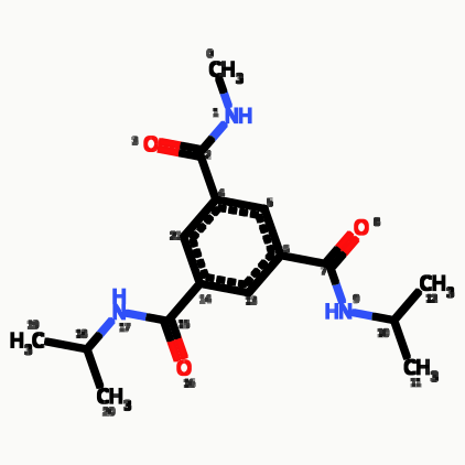 CNC(=O)c1cc(C(=O)NC(C)C)cc(C(=O)NC(C)C)c1